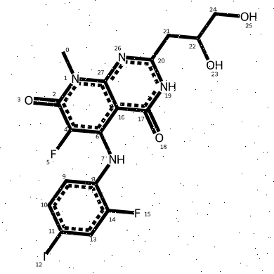 Cn1c(=O)c(F)c(Nc2ccc(I)cc2F)c2c(=O)[nH]c(CC(O)CO)nc21